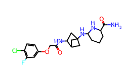 NC(=O)C1CCCC(NC23CC(C2)C(NC(=O)COc2ccc(Cl)c(F)c2)C3)N1